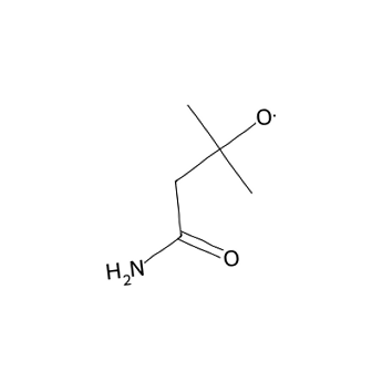 CC(C)([O])CC(N)=O